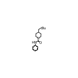 CC(C)(C)CC1CCN(C(=O)Nc2ccccc2)CC1